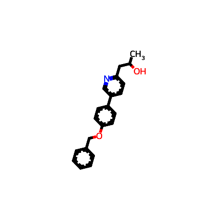 CC(O)Cc1ccc(-c2ccc(OCc3ccccc3)cc2)cn1